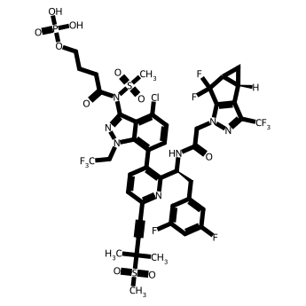 CC(C)(C#Cc1ccc(-c2ccc(Cl)c3c(N(C(=O)CCCOP(=O)(O)O)S(C)(=O)=O)nn(CC(F)(F)F)c23)c([C@H](Cc2cc(F)cc(F)c2)NC(=O)Cn2nc(C(F)(F)F)c3c2C(F)(F)C2C[C@H]32)n1)S(C)(=O)=O